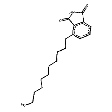 O=C1NC(=O)c2c(CCCCCCCCCCO)cccc21